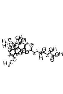 COc1ccc(C)c2c1O[C@H]1C(OC(=O)CCNC(=O)C[C@H](O)C(=O)O)=CC[C@@]3(O)[C@@H](C)N(C)CC[C@]213